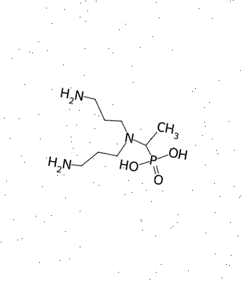 CC(N(CCCN)CCCN)P(=O)(O)O